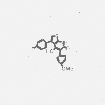 COc1ccc(-c2c(O)c3c(-c4ccc(F)cc4)csc3[nH]c2=O)cc1